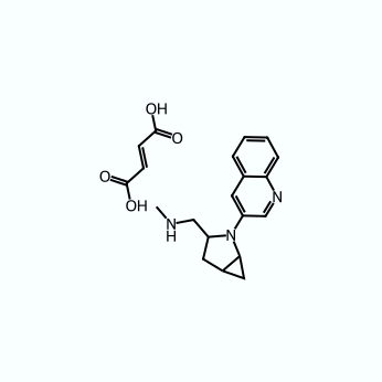 CNCC1CC2CC2N1c1cnc2ccccc2c1.O=C(O)C=CC(=O)O